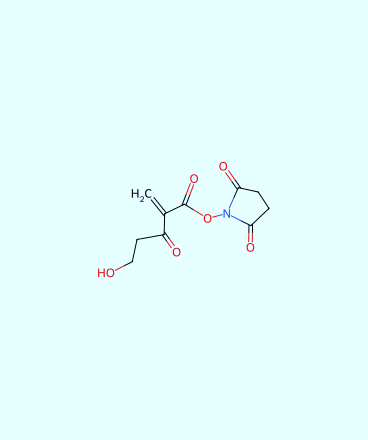 C=C(C(=O)CCO)C(=O)ON1C(=O)CCC1=O